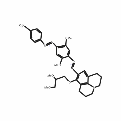 COCC(COc1c(/N=N/c2cc(OC)c(/N=N/c3ccc([N+](=O)[O-])cc3)cc2OC)cc2c3c1CCCN3CCC2)OC